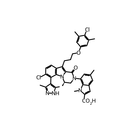 Cc1cc(N2C[C@@H](C)n3c(c(CCCOc4cc(C)c(Cl)c(C)c4)c4ccc(Cl)c(-c5c(C)n[nH]c5C)c43)C2=O)c2c(c1)cc(C(=O)O)n2C